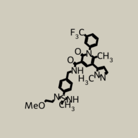 COCCN=S(C)(=N)c1ccc(CNC(=O)c2cc(-c3ccnn3C)c(C)n(-c3cccc(C(F)(F)F)c3)c2=O)cc1